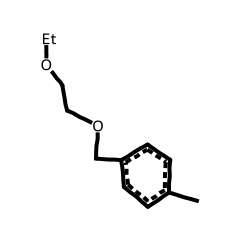 CCOCCOCc1ccc(C)cc1